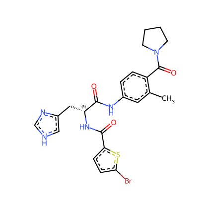 Cc1cc(NC(=O)[C@@H](Cc2c[nH]cn2)NC(=O)c2ccc(Br)s2)ccc1C(=O)N1CCCC1